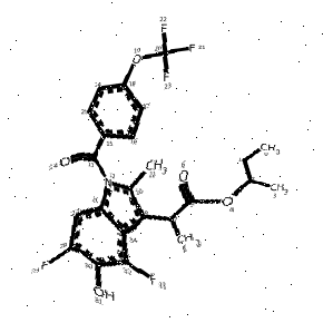 CCC(C)OC(=O)C(C)c1c(C)n(C(=O)c2ccc(OC(F)(F)F)cc2)c2cc(F)c(O)c(F)c12